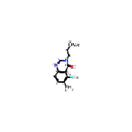 Bc1ccc2ncn(CCOC)c(=O)c2c1F